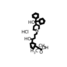 CC(C)(C(=O)O)c1cccc(C(O)CCCN2CCC(C(O)(c3ccccc3)c3ccccc3)CC2)c1.Cl